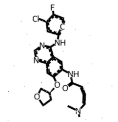 CN(C)C=C=CC(=O)Nc1cc2c(Nc3ccc(F)c(Cl)c3)ncnc2cc1O[C@H]1CCOC1